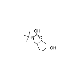 CC(C)(C)N(C[C@H]1CC[C@H](O)CC1)C(=O)O